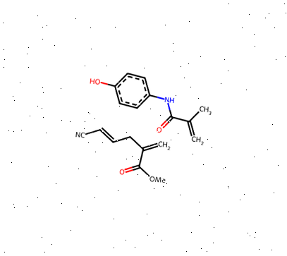 C=C(C)C(=O)Nc1ccc(O)cc1.C=C(CC=CC#N)C(=O)OC